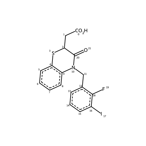 O=C(O)CC1Sc2ccccc2N(Cc2cccc(I)c2F)C1=O